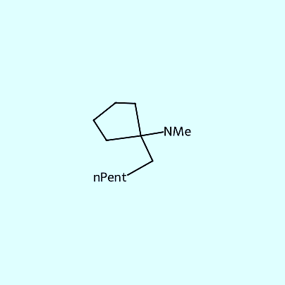 CCCCCCC1(NC)CCCC1